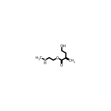 C=C(CCO)C(=O)OCCNC